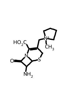 C[N+]1(CC2=C(C(=O)O)N3C(=O)C(N)C3SC2)CCCC1